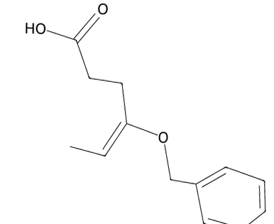 CC=C(CCC(=O)O)OCc1ccccc1